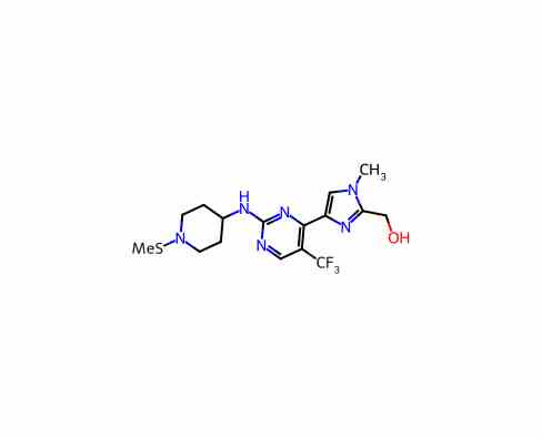 CSN1CCC(Nc2ncc(C(F)(F)F)c(-c3cn(C)c(CO)n3)n2)CC1